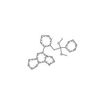 COC(Cc1ccccc1-c1cc2ccccc2c2nccn12)(OC)c1ccccc1